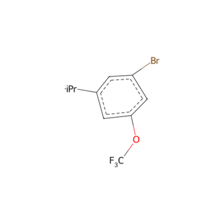 C[C](C)c1cc(Br)cc(OC(F)(F)F)c1